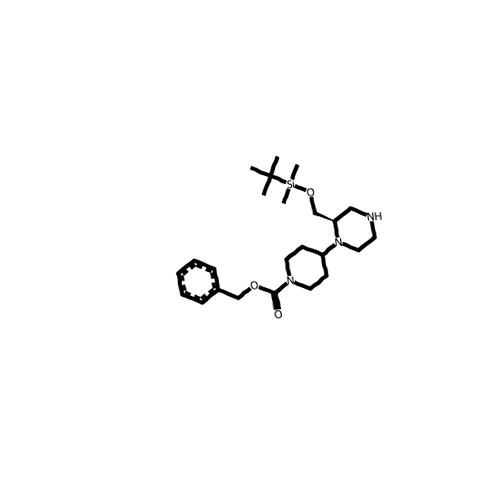 CC(C)(C)[Si](C)(C)OC[C@H]1CNCCN1C1CCN(C(=O)OCc2ccccc2)CC1